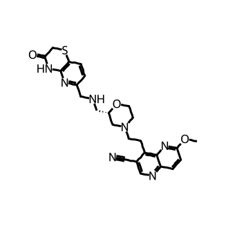 COc1ccc2ncc(C#N)c(CCN3CCO[C@@H](CNCc4ccc5c(n4)NC(=O)CS5)C3)c2n1